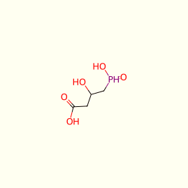 O=C(O)CC(O)C[PH](=O)O